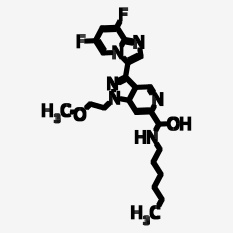 CCCCCCNC(O)C1=CC2C(C=N1)C(c1cnc3c(F)cc(F)cn13)=NN2CCOC